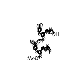 COC[C@H](C)Oc1cc(Oc2ccc(S(C)(=O)=O)cc2)cc(-c2ccc(C3=NCC(CF)O3)[nH]2)c1.COC[C@H](C)Oc1cc(Oc2ccc(S(C)(=O)=O)cc2)cc(-c2ccc(C3=NCC(CO)O3)[nH]2)c1